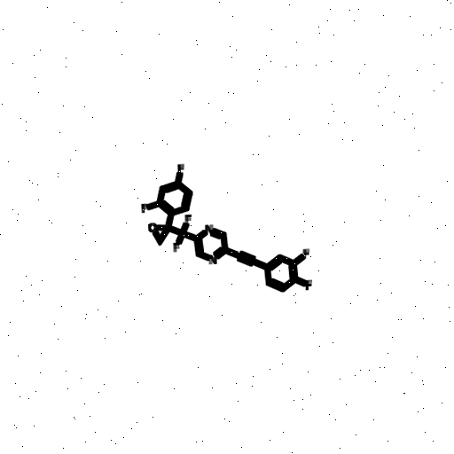 Fc1ccc(C2(C(F)(F)c3cnc(C#Cc4ccc(F)c(F)c4)cn3)CO2)c(F)c1